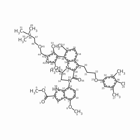 COC(=O)c1cc2c(OC)ccc(N3C[C@@H](C)n4c(c(CCCOc5cc(C)c(Cl)c(C)c5)c5ccc(Cl)c(-c6c(C)nn(COCC[Si](C)(C)C)c6C)c54)C3=O)c2[nH]1